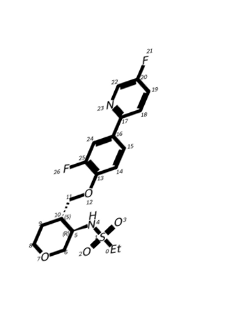 CCS(=O)(=O)N[C@H]1COCC[C@@H]1COc1ccc(-c2ccc(F)cn2)cc1F